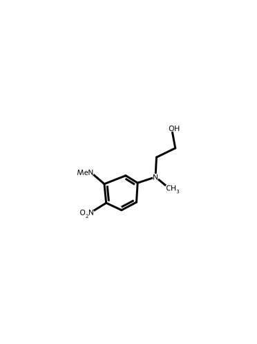 CNc1cc(N(C)CCO)ccc1[N+](=O)[O-]